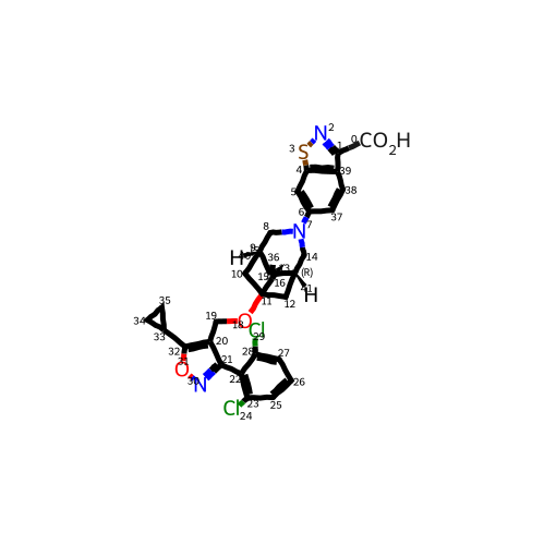 O=C(O)c1nsc2cc(N3C[C@H]4CCC[C@@H](C3)C43CC(OCc4c(-c5c(Cl)cccc5Cl)noc4C4CC4)C3)ccc12